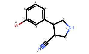 N#CC1CNCC1c1cccc(Br)c1